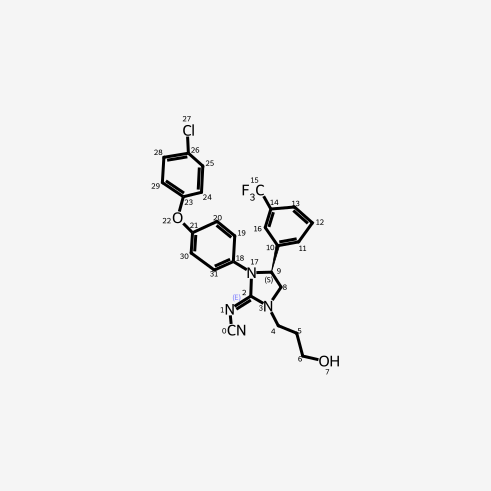 N#C/N=C1\N(CCCO)C[C@H](c2cccc(C(F)(F)F)c2)N1c1ccc(Oc2ccc(Cl)cc2)cc1